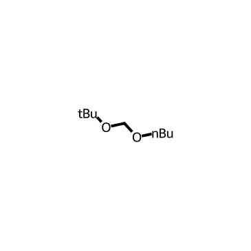 CCCCOCOC(C)(C)C